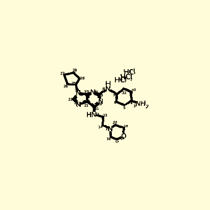 Cl.Cl.Cl.NC1CCC(Nc2nc(NCCN3CCOCC3)c3ncn(C4CCCC4)c3n2)CC1